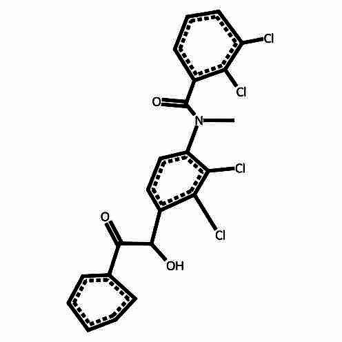 CN(C(=O)c1cccc(Cl)c1Cl)c1ccc(C(O)C(=O)c2ccccc2)c(Cl)c1Cl